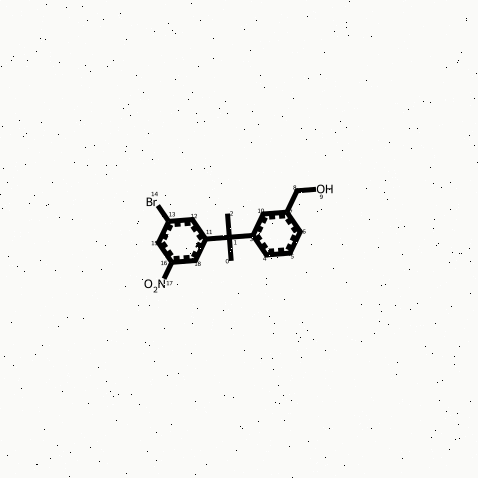 CC(C)(c1cccc(CO)c1)c1cc(Br)cc([N+](=O)[O-])c1